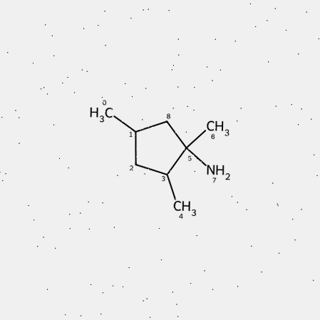 CC1CC(C)C(C)(N)C1